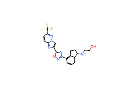 OCCNC1CCc2c(-c3noc(-c4cn5nc(C(F)(F)F)ccc5n4)n3)cccc21